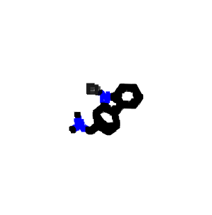 CCn1c2c(c3ccccc31)C1CCC2C(CN(C)C)C1